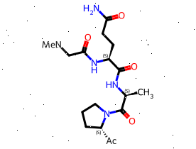 CNCC(=O)N[C@@H](CCC(N)=O)C(=O)N[C@@H](C)C(=O)N1CCC[C@H]1C(C)=O